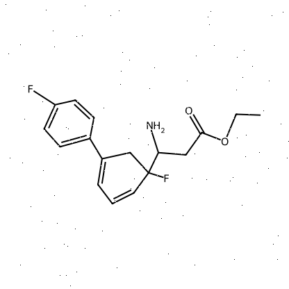 CCOC(=O)CC(N)C1(F)C=CC=C(c2ccc(F)cc2)C1